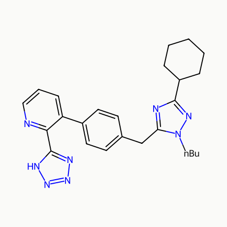 CCCCn1nc(C2CCCCC2)nc1Cc1ccc(-c2cccnc2-c2nnn[nH]2)cc1